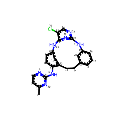 Cc1ccnc(Nc2ccc3cc2CCc2cccc(c2)Nc2ncc(Cl)c(n2)N3)n1